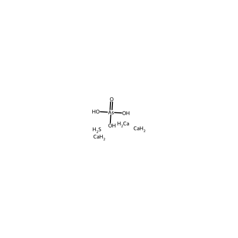 O=[As](O)(O)O.S.[CaH2].[CaH2].[CaH2]